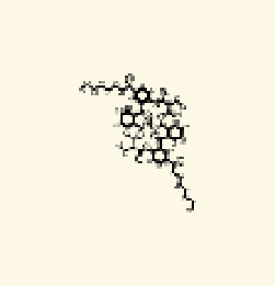 CCCCCCCC(=O)c1ccc(OC(=O)C(CC)CC)c(C(=O)c2ccccc2C(=O)OOC(=O)c2ccccc2C(=O)c2cc(C(=O)CCCCCCC)ccc2OC(=O)C(CC)CC)c1